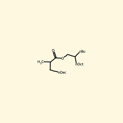 CCCCCCCCCCCC(C)C(=O)OCC(CCCC)CCCCCCCC